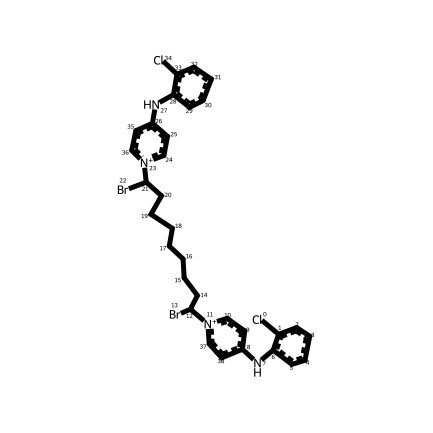 Clc1ccccc1Nc1cc[n+](C(Br)CCCCCCCC(Br)[n+]2ccc(Nc3ccccc3Cl)cc2)cc1